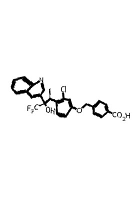 C[C@@H](c1ccc(OCc2ccc(C(=O)O)cc2)cc1Cl)[C@](O)(c1cnc2ccccc2c1)C(F)(F)F